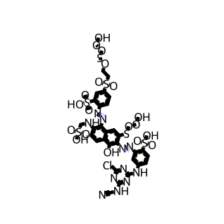 N#CNc1nc(Cl)nc(Nc2ccc(S(=O)(=O)O)c(/N=N/c3c(SOOO)cc4c(/N=N/c5ccc(S(=O)(=O)CCOSOOO)cc5S(=O)(=O)O)c(NCS(=O)(=O)O)ccc4c3O)c2)n1